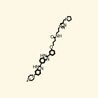 CN1CCN(c2ccc3nc(-c4ccc5[nH]c(-c6cccc(OCCCC(=O)NCCCn7cc(CN8CCCC8)nn7)c6)nc5c4)[nH]c3c2)CC1